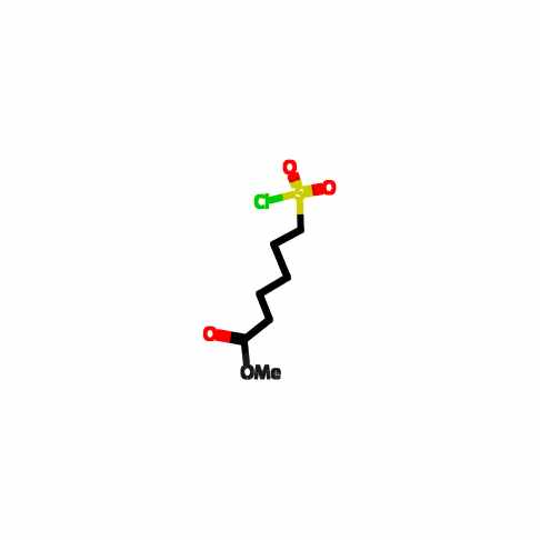 COC(=O)CCCCCS(=O)(=O)Cl